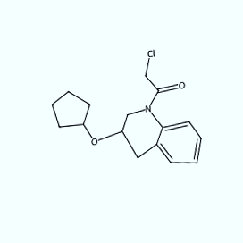 O=C(CCl)N1CC(OC2CCCC2)Cc2ccccc21